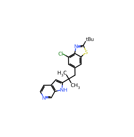 CC(C)(C)c1nc2c(Cl)cc(CC(C)(C)c3cc4ccncc4[nH]3)cc2s1